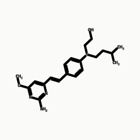 COc1cc(/C=C/c2ccc(N(CCO)CCC(C)C)cc2)nc(N)n1